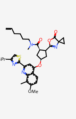 C=CCCCCN(C)C(=O)[C@@H]1C[C@H](Oc2cc(-c3nc(C(C)C)cs3)nc3c(C)c(OC)ccc23)CC1C1=NC2(CC2)C(=O)O1